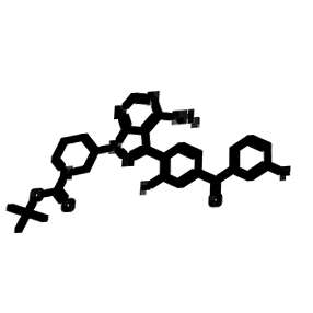 CC(C)(C)OC(=O)N1CCCC(n2nc(-c3ccc(C(=O)c4cccc(F)c4)cc3F)c3c(N)ncnc32)C1